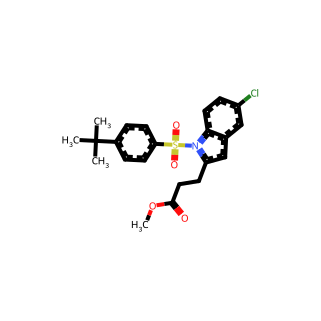 COC(=O)CCc1cc2cc(Cl)ccc2n1S(=O)(=O)c1ccc(C(C)(C)C)cc1